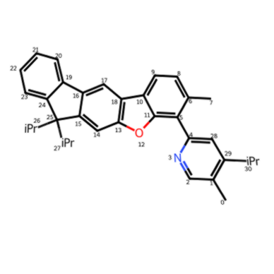 Cc1cnc(-c2c(C)ccc3c2oc2cc4c(cc23)-c2ccccc2C4(C(C)C)C(C)C)cc1C(C)C